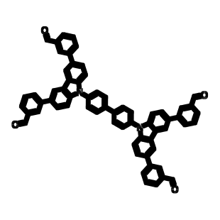 O=Cc1cccc(-c2ccc3c(c2)c2cc(-c4cccc(C=O)c4)ccc2n3-c2ccc(-c3ccc(-n4c5ccc(-c6cccc(C=O)c6)cc5c5cc(-c6cccc(C=O)c6)ccc54)cc3)cc2)c1